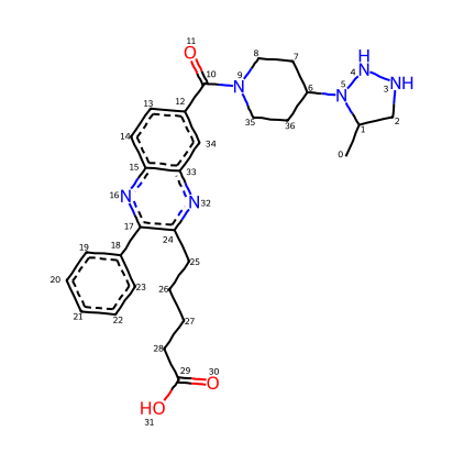 CC1CNNN1C1CCN(C(=O)c2ccc3nc(-c4ccccc4)c(CCCCC(=O)O)nc3c2)CC1